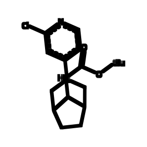 CC(C)(C)OC(=O)NC1C2CCC1CN(c1ccnc(Cl)c1)C2